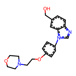 OCc1ccc2ncn(-c3ccc(OCCN4CCOCC4)cc3)c2c1